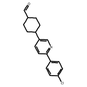 O=CC1CCC(c2ccc(-c3ccc(Cl)cc3)nc2)CC1